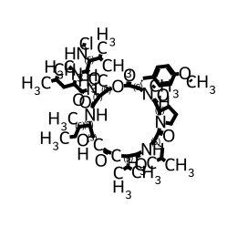 CC[C@H](C)[C@H]1NC(=O)[C@@H](NC(=O)C(CC(C)C)N(C)C(=O)[C@@H](NCl)C(C)C)[C@@H](C)OC(=O)[C@H](Cc2ccc(OC)cc2)N(C)C(=O)[C@@H]2CCCN2C(=O)[C@H](CC(C)C)NC(=O)[C@H](C(C)C)CC(=O)C[C@@H]1O